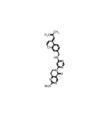 C=C(C)/C=C(\C=C/C)c1ccc(CNc2cc(N3CCc4nc(SC)ncc4C3=O)ncn2)cc1